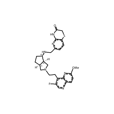 COc1ccc2ncc(F)c(CCN3C[C@H]4CC[C@@H](NCc5ccc6c(n5)NC(=O)CS6)[C@H]4C3)c2n1